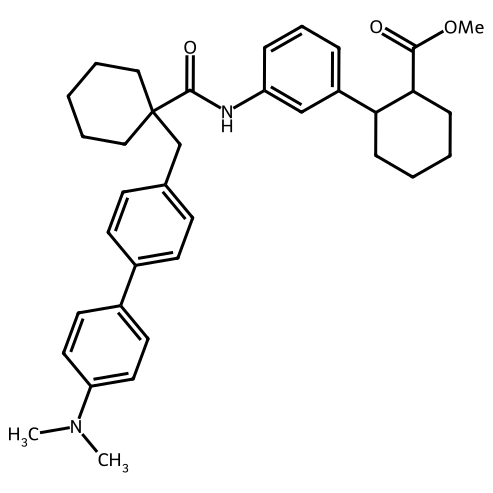 COC(=O)C1CCCCC1c1cccc(NC(=O)C2(Cc3ccc(-c4ccc(N(C)C)cc4)cc3)CCCCC2)c1